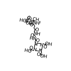 C[C@@H](NC(=O)CCC(=O)CNC(=O)CNC(=O)CN1CCN(CC(=O)O)CCN(CC(=O)O)CCN(CC(=O)O)CC1)C(=O)N1CCC[C@H]1B(O)O